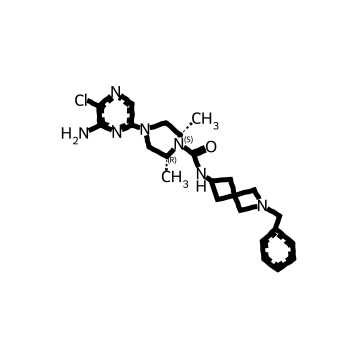 C[C@@H]1CN(c2cnc(Cl)c(N)n2)C[C@H](C)N1C(=O)NC1CC2(C1)CN(Cc1ccccc1)C2